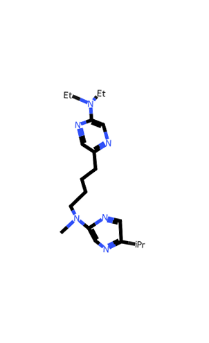 CCN(CC)c1cnc(CCCCN(C)c2cnc(C(C)C)cn2)cn1